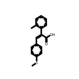 CSc1ccc(/C=C(\C(=O)O)c2ccccc2C)cc1